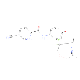 N#Cc1ccc(C(=O)Nc2ccc3c(c2)C2(CCO3)N=C([AsH2])COCC2(F)F)nc1